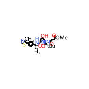 COC(=O)CCC(=O)N[C@H](C(=O)N1C[C@H](O)C[C@H]1C(=O)N[C@@H](C)c1ccc(-c2scnc2C)cc1)C(C)(C)C